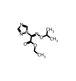 CCOC(=O)C(=NOC(C)C)n1cncn1